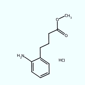 COC(=O)CCCc1ccccc1N.Cl